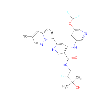 CC(C)(O)[C@H](F)CNC(=O)c1cnc(-c2ccc3cc(C#N)cnn23)cc1Nc1cncc(OC(F)F)c1